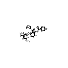 Cl.Cl.NCc1cc(Oc2cccc3c2ccn3CC(=O)N2CCNCC2)nc(C(F)(F)F)c1